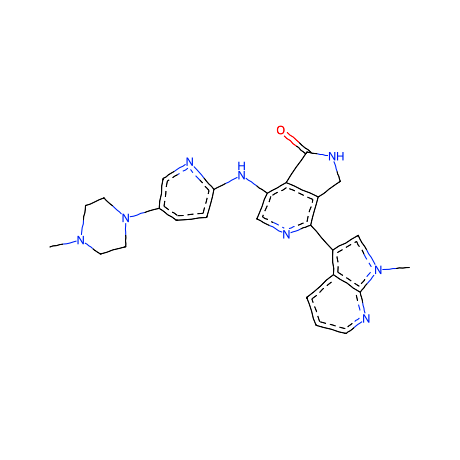 CN1CCN(c2ccc(Nc3cnc(-c4cn(C)c5ncccc45)c4c3C(=O)NC4)nc2)CC1